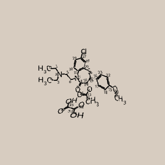 CCN(CC)CCN1C(=O)[C@@H](OC(C)=O)[C@@H](c2ccc(OC)cc2)Sc2cc(Cl)ccc21.O=C(O)C(=O)O